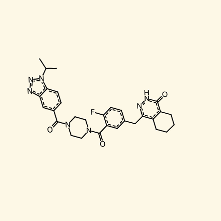 CC(C)n1nnc2cc(C(=O)N3CCN(C(=O)c4cc(Cc5n[nH]c(=O)c6c5CCCC6)ccc4F)CC3)ccc21